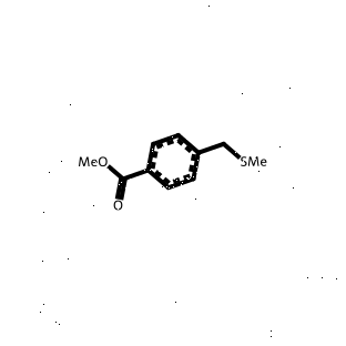 COC(=O)c1ccc(CSC)cc1